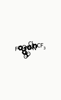 CS(=O)(=O)c1ccc(-c2cccc(F)c2)c(C(=O)N2CCN(c3ncc(C(F)(F)F)cc3Cl)CC2)c1